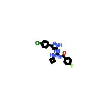 O=C(/N=C(\Nc1cc(-c2ccc(Cl)cc2)n[nH]1)NC1CCC1)c1ccc(F)cc1